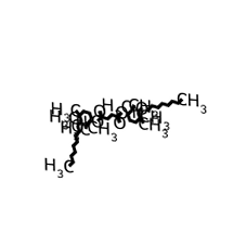 CCCCCCCCON1C(C)(C)CCC(OC(=O)CCC(=O)OC2CCC(C)(C)N(OCCCCCCCC)C2(C)C)C1(C)C